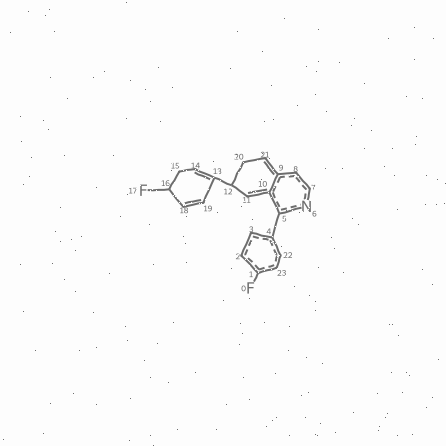 Fc1ccc(-c2nccc3c2=CC(C2=CCC(F)C=C2)CC=3)cc1